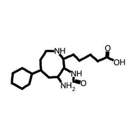 NC1CC(C2CCCCC2)CCNC(CCCCC(=O)O)C1NC=O